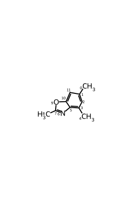 Cc1cc(C)c2nc(C)oc2c1